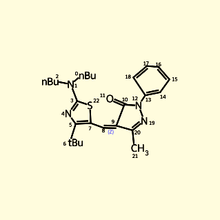 CCCCN(CCCC)c1nc(C(C)(C)C)c(/C=C2\C(=O)N(c3ccccc3)N=C2C)s1